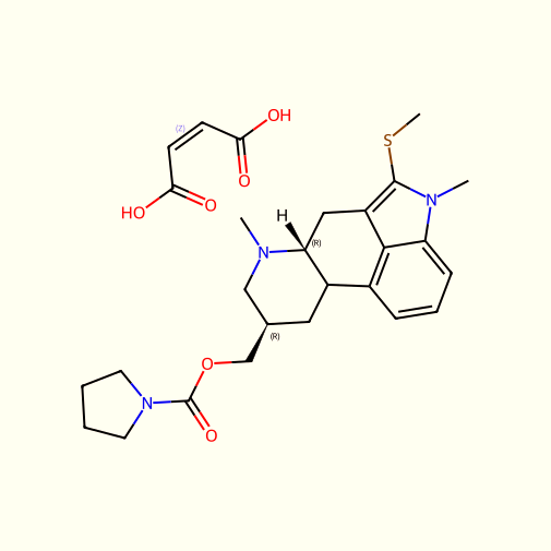 CSc1c2c3c(cccc3n1C)C1C[C@@H](COC(=O)N3CCCC3)CN(C)[C@@H]1C2.O=C(O)/C=C\C(=O)O